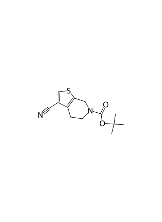 CC(C)(C)OC(=O)N1CCc2c(C#N)csc2C1